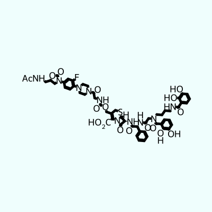 CC(=O)NCC1CN(c2ccc(N3CCN(C(=O)CNC(=O)OCC4=C(C(=O)O)N5C(=O)[C@@H](NC(=O)C(NC(=O)CN(CCCCNC(=O)c6cccc(O)c6O)C(=O)c6cccc(O)c6O)c6ccccc6)[C@H]5SC4)CC3)c(F)c2)C(=O)O1